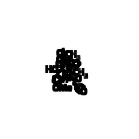 COc1ccc([C@@H](O)[C@H](NC(=O)C(C)NC(=O)CN2CCOCC2)C(=O)NC(CC2CCCC2)C(=O)C2(C)CO2)cc1